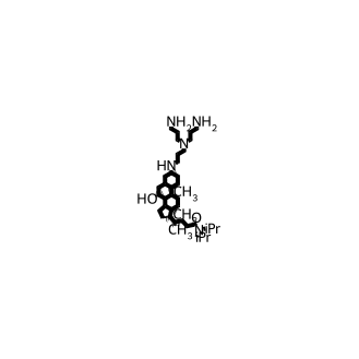 CC(C)N(C(=O)CC[C@@H](C)[C@H]1CCC2C3C(CC[C@@]21C)[C@@]1(C)CC[C@H](NCCCN(CCCN)CCCN)CC1C[C@H]3O)C(C)C